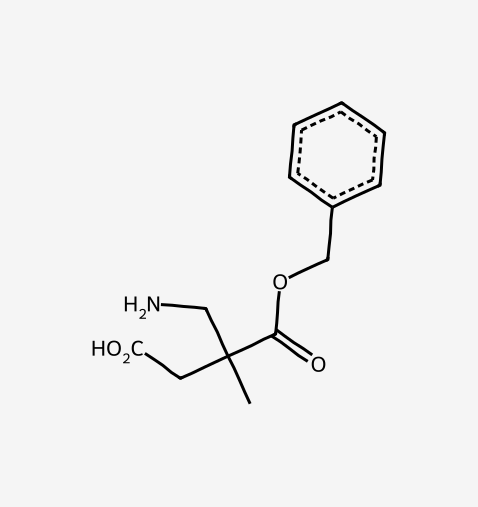 CC(CN)(CC(=O)O)C(=O)OCc1ccccc1